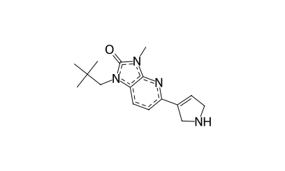 Cn1c(=O)n(CC(C)(C)C)c2ccc(C3=CCNC3)nc21